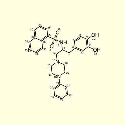 O=S(=O)(NC(Cc1ccc(O)c(O)c1)CN1CCN(c2ccccc2)CC1)c1cccc2cnccc12